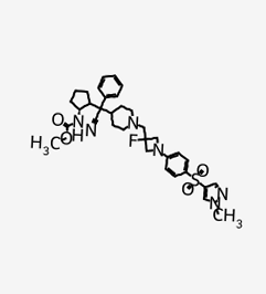 COC(=O)N[C@H]1CCCC1C(C#N)(c1ccccc1)C1CCN(CC2(F)CN(c3ccc(S(=O)(=O)c4cnn(C)c4)cc3)C2)CC1